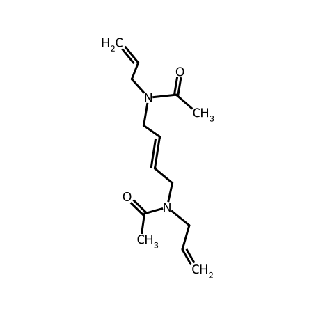 C=CCN(CC=CCN(CC=C)C(C)=O)C(C)=O